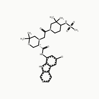 CC1(C)CN(CC(=O)N2CCC(NS(C)(=O)=O)C(C)(C)C2)[C@H](C(=O)Nc2cc(Cl)cc3c2[nH]c2cnccc23)CO1